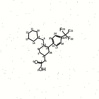 O=C(O)CC1CCN(CC2CCCCC2)C(c2ccc(C(F)(F)F)cc2)C1